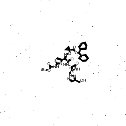 CC(C)(C)OC(=O)Nc1nc(C(=NOC2(C(=O)OC(c3ccccc3)c3ccccc3)CC2)C(=O)N[C@@H]2C(=O)N[C@@H]2Cn2ncc(CO)n2)cs1